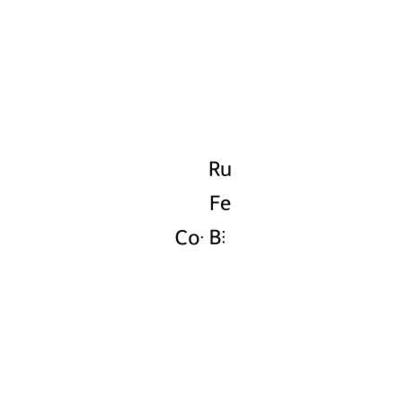 [B].[Co].[Fe].[Ru]